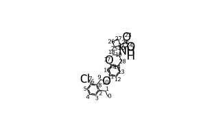 CCc1cccc(Cl)c1COc1ccc2c(c1)OCC(NC1(C(=O)O)CCC1)C2